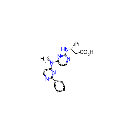 CC(C)[C@H](CC(=O)O)Nc1nccc(N(C)c2ccnc(-c3ccccc3)n2)n1